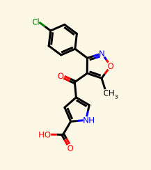 Cc1onc(-c2ccc(Cl)cc2)c1C(=O)c1c[nH]c(C(=O)O)c1